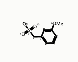 COc1cccc(CS([O])(=O)=O)c1